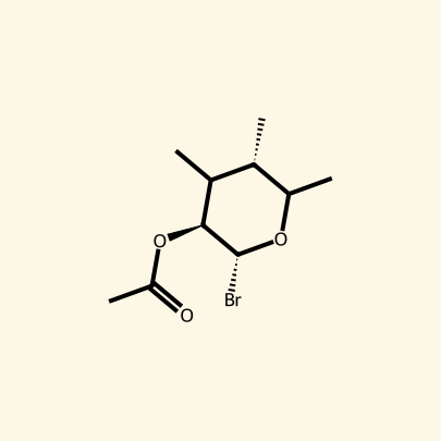 CC(=O)O[C@H]1C(C)[C@H](C)C(C)O[C@@H]1Br